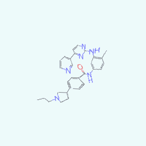 CCCN1CCC(c2ccc(C(=O)Nc3ccc(C)c(Nc4nccc(-c5cccnc5)n4)c3)cc2)C1